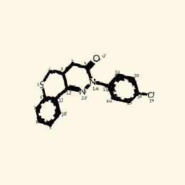 O=C1CC2CSc3ccccc3C2=NN1c1ccc(Cl)cc1